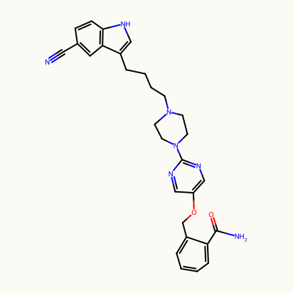 N#Cc1ccc2[nH]cc(CCCCN3CCN(c4ncc(OCc5ccccc5C(N)=O)cn4)CC3)c2c1